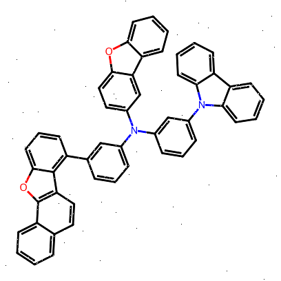 c1cc(-c2cccc3oc4c5ccccc5ccc4c23)cc(N(c2cccc(-n3c4ccccc4c4ccccc43)c2)c2ccc3oc4ccccc4c3c2)c1